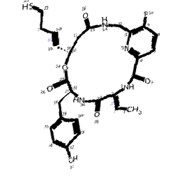 C/C=C1\NC(=O)c2ccc(F)c(n2)CNC(=O)C[C@@H](/C=C/CCS)OC(=O)[C@H](Cc2ccc(O)cc2)NC1=O